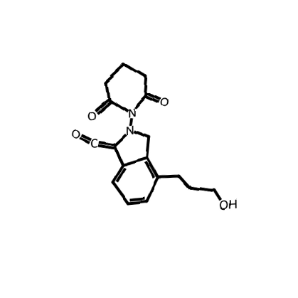 O=C=C1c2cccc(CCCO)c2CN1N1C(=O)CCCC1=O